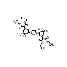 CCOC(=O)C(C(=O)OCC)=C1C=C(N2CCN(C3=CC(=C(C(=O)OCC)C(=O)OCC)CC(C)(C)C3)CC2)CC(C)(C)C1